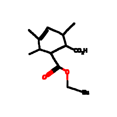 CCC(C)COC(=O)C1C(C)C(C)=CC(C)C1C(=O)O